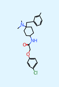 Cc1cccc(CC2(N(C)C)CCC(NC(=O)COc3ccc(Cl)cc3)CC2)c1